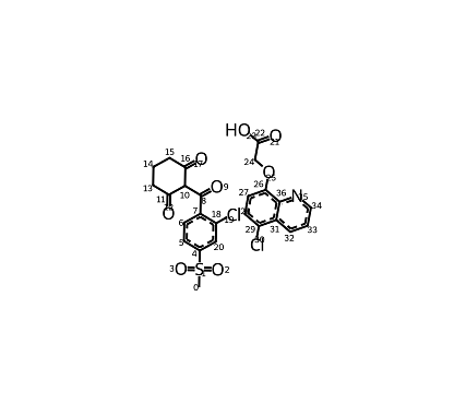 CS(=O)(=O)c1ccc(C(=O)C2C(=O)CCCC2=O)c(Cl)c1.O=C(O)COc1ccc(Cl)c2cccnc12